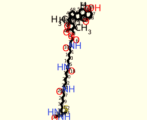 CC1=C(COC(=O)CNC(=O)CCCCCNC(=O)CCCCCNC(=O)CCCCC2SCC3NC(=O)NC32)C(=O)OC([C@@H](C)C2CCC3C4C[C@H]5O[C@]56C(O)C=CC(=O)[C@]6(C)C4CC[C@@]32C)C1